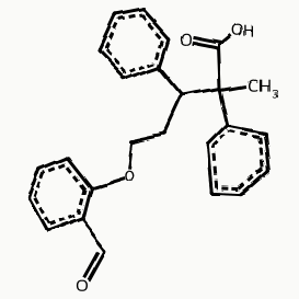 CC(C(=O)O)(c1ccccc1)C(CCOc1ccccc1C=O)c1ccccc1